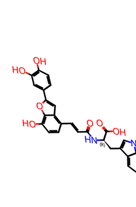 O=C(C=Cc1ccc(O)c2oc(-c3ccc(O)c(O)c3)cc12)N[C@H](Cc1c[nH]c2ccccc12)C(=O)O